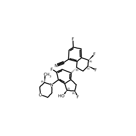 C[C@@H]1COCCN1c1c(F)cc([C@H]2C[C@H](F)[C@H](F)c3cc(F)cc(C#N)c32)c2c1[C@H](O)[C@H](F)C2